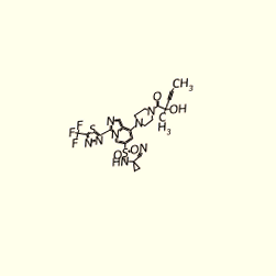 CC#CC(C)(O)C(=O)N1CCN(c2cc(S(=O)(=O)NC3(C#N)CC3)cn3c(-c4nnc(C(F)(F)F)s4)ncc23)CC1